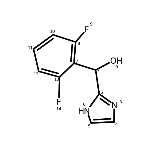 OC(c1ncc[nH]1)c1c(F)cccc1F